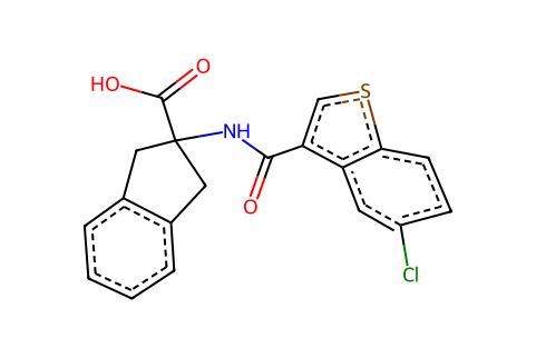 O=C(NC1(C(=O)O)Cc2ccccc2C1)c1csc2ccc(Cl)cc12